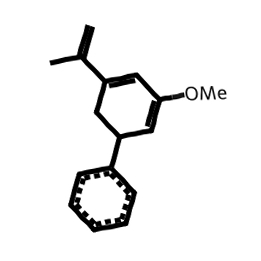 C=C(C)C1=CC(OC)=CC(c2ccccc2)C1